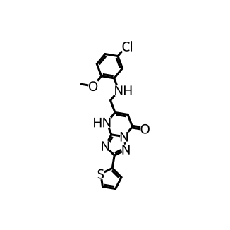 COc1ccc(Cl)cc1NCc1cc(=O)n2nc(-c3cccs3)nc2[nH]1